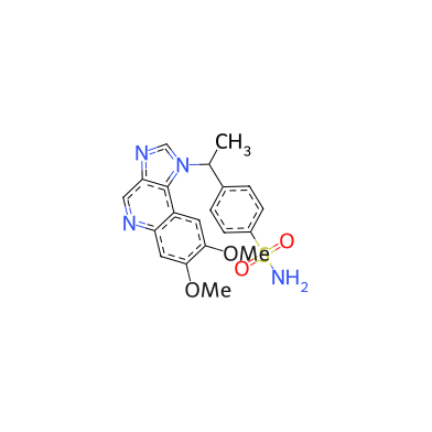 COc1cc2ncc3ncn(C(C)c4ccc(S(N)(=O)=O)cc4)c3c2cc1OC